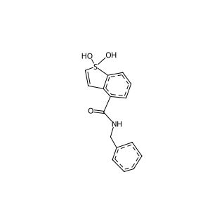 O=C(NCc1ccccc1)c1cccc2c1C=CS2(O)O